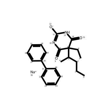 CCCC(C)C1(CC)C(=O)N=C([O-])NC1=O.[Na+].c1ccc(-c2ccccc2)cc1